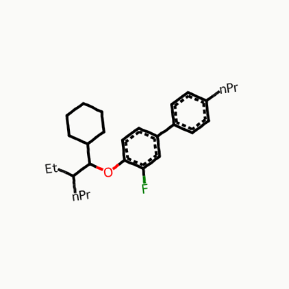 CCCc1ccc(-c2ccc(OC(C(CC)CCC)C3CCCCC3)c(F)c2)cc1